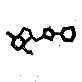 O=c1ccc([N+](=O)[O-])c2n1CCN2Cc1csc(-c2ccccc2)n1